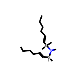 CCCC/C=C/[SiH](C)N(C)[Si](C)(C)/C=C/CCCC